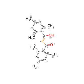 Cc1cc(C)c(C(=O)/P=C(\O)c2c(C)cc(C)cc2C)c(C)c1